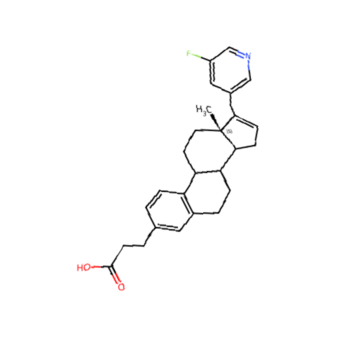 C[C@]12CCC3c4ccc(CCC(=O)O)cc4CCC3C1CC=C2c1cncc(F)c1